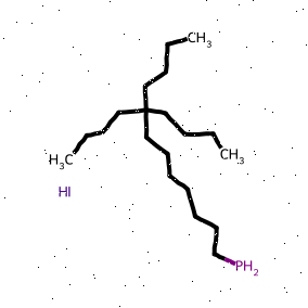 CCCCC(CCCC)(CCCC)CCCCCCCP.I